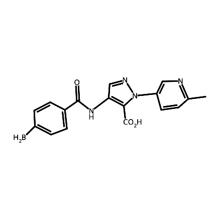 Bc1ccc(C(=O)Nc2cnn(-c3ccc(C)nc3)c2C(=O)O)cc1